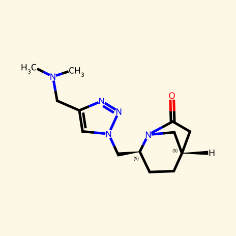 CN(C)Cc1cn(C[C@@H]2CC[C@H]3CC(=O)N2C3)nn1